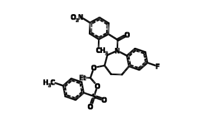 CCC(OC1CCc2cc(F)ccc2N(C(=O)c2ccc([N+](=O)[O-])cc2C)C1)OS(=O)(=O)c1ccc(C)cc1